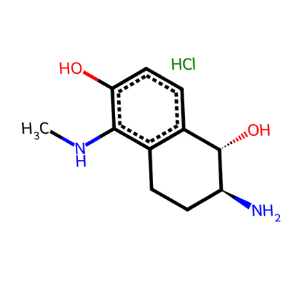 CNc1c(O)ccc2c1CC[C@H](N)[C@H]2O.Cl